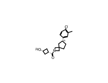 Cc1cc([C@@H]2CCC3(C2)CN(C(=O)[C@H]2C[C@@H](O)C2)C3)ccc1Cl